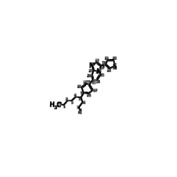 CCCCCC(CCI)c1ccc(-c2ccn3c(-c4ccsc4)cnc3c2)cc1